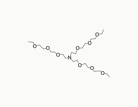 CCOCCOCCOCCN(CCOCCOCCOCC)CCOCCOCCOCC